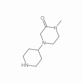 CN1CCN(C2CCNCC2)CC1=O